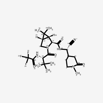 CN1CCC([C@@H](C#N)NC(=O)[C@@H]2[C@@H]3[C@H](CN2C(=O)[C@@H](NC(=O)C(F)(F)F)C(C)(C)C)C3(C)C)CC1=O